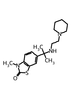 Cn1c(=O)sc2cc(C(C)(C)NCCN3CCCCC3)ccc21